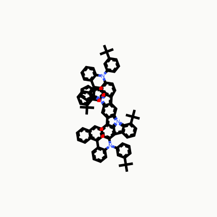 CC(C)(C)c1cccc(N(c2ccccc2-c2cccc3ccccc23)c2ccc3c4cc5c(cc4n4c6c(C(C)(C)C)cccc6c2c34)c2ccc(N(c3cccc(C(C)(C)C)c3)c3ccccc3-c3cccc4ccccc34)c3c4cccc(C(C)(C)C)c4n5c23)c1